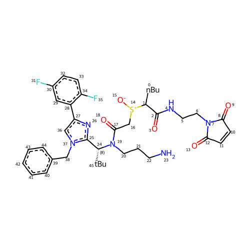 CCCCC(C(=O)NCCN1C(=O)C=CC1=O)[S+]([O-])CC(=O)N(CCCN)[C@@H](c1nc(-c2cc(F)ccc2F)cn1Cc1ccccc1)C(C)(C)C